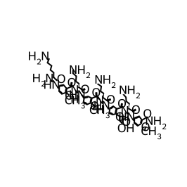 COc1ccc(NC(=O)[C@H](CCCCN)NC(=O)c2cc(NC(=O)[C@H](CCCCN)NC(=O)c3cc(NC(=O)[C@H](CCCCN)NC(=O)c4cc(NC(=O)[C@@H](N)CCCCCN)ccc4OC)ccc3OC)ccc2OCC(=O)O)cc1C(N)=O